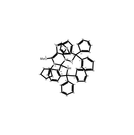 COC1=C2N=CN3CC23N(OC(c2ccccc2)(c2ccccc2)c2ccccc2)C(F)(NC(c2ccccc2)(c2ccccc2)c2ccccc2)N1C1CCCC1